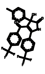 Cc1ccc(C2(O)C(=O)NC(c3ccc(C(F)(F)F)cc3)=C2C(=O)c2ccc(C(F)(F)F)cc2)nn1